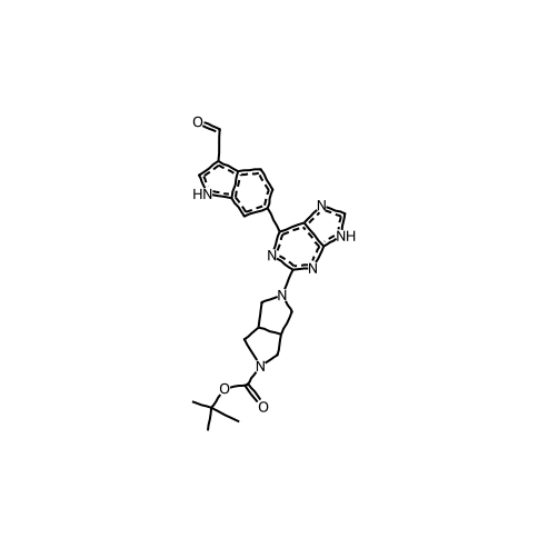 CC(C)(C)OC(=O)N1CC2CN(c3nc(-c4ccc5c(C=O)c[nH]c5c4)c4nc[nH]c4n3)CC2C1